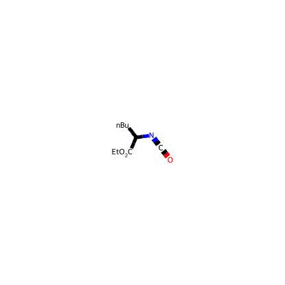 CCCCC(N=C=O)C(=O)OCC